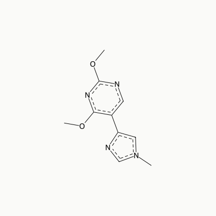 COc1ncc(-c2cn(C)cn2)c(OC)n1